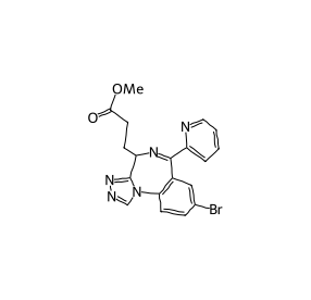 COC(=O)CCC1N=C(c2ccccn2)c2cc(Br)ccc2-n2cnnc21